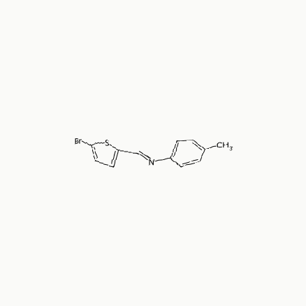 Cc1ccc(/N=C/c2ccc(Br)s2)cc1